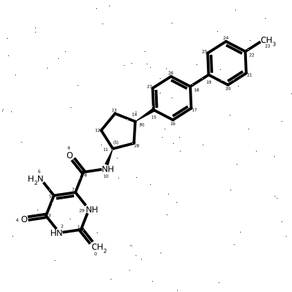 C=C1NC(=O)C(N)=C(C(=O)N[C@H]2CC[C@@H](c3ccc(-c4ccc(C)cc4)cc3)C2)N1